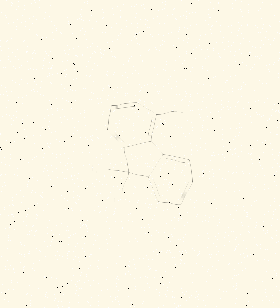 CC1(C)c2ccccc2-c2c(Br)cccc21